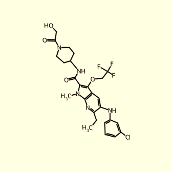 CCc1nc2c(cc1Nc1cccc(Cl)c1)c(OCC(F)(F)F)c(C(=O)NC1CCN(C(=O)CO)CC1)n2C